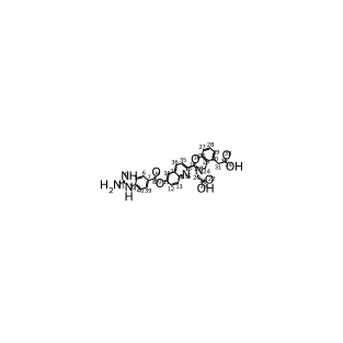 N=C(N)Nc1ccc(C(=O)Oc2ccc3nc(C(=O)N(CC(=O)O)Cc4ccccc4CC(=O)O)ccc3c2)cc1